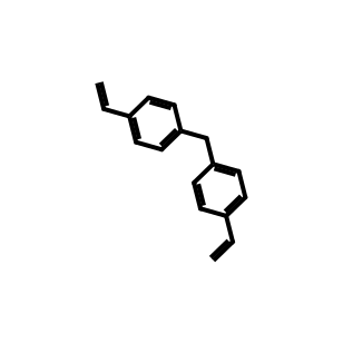 C=Cc1ccc(Cc2ccc(C=C)cc2)cc1